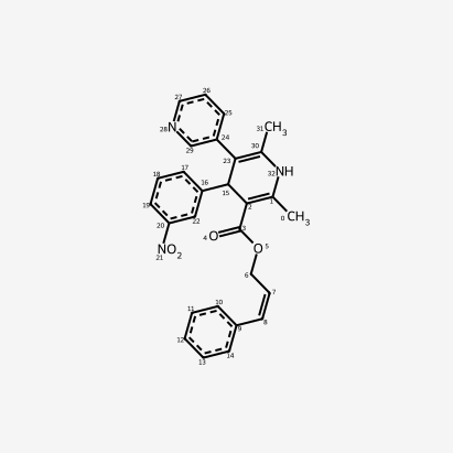 CC1=C(C(=O)OC/C=C\c2ccccc2)C(c2cccc([N+](=O)[O-])c2)C(c2cccnc2)=C(C)N1